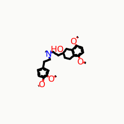 COc1ccc(CCN(C)CCC2(O)CCc3c(OC)ccc(OC)c3C2)cc1OC